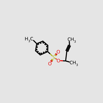 CC#CC(C)OS(=O)(=O)c1ccc(C)cc1